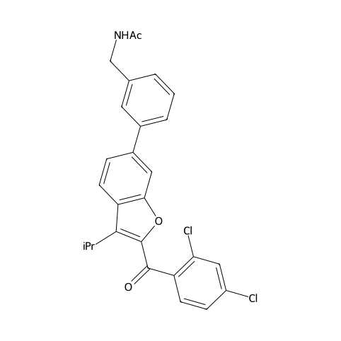 CC(=O)NCc1cccc(-c2ccc3c(C(C)C)c(C(=O)c4ccc(Cl)cc4Cl)oc3c2)c1